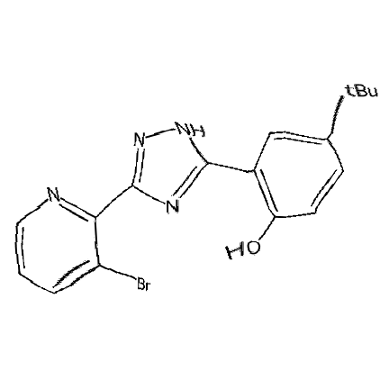 CC(C)(C)c1ccc(O)c(-c2nc(-c3ncccc3Br)n[nH]2)c1